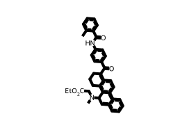 CCOC(=O)CN(C)C1C=c2ccccc2=c2ccc3c(c21)CCCC=3C(=O)c1ccc(NC(=O)c2ccccc2C)cc1